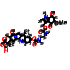 CCc1c2c(nc3ccc(OC(=O)N(C)CCN(C)C(=O)OCc4c5c(n(C)c4C)C(=O)C=C(OC)C5=O)cc13)-c1cc3c(c(=O)n1C2)COC(=O)[C@]3(O)CC